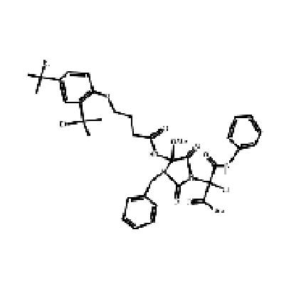 CCC(C)(C)c1ccc(OCCCC(=O)NC2(OC)C(=O)N(C(Cl)(C(=O)Nc3ccccc3)C(=O)C(C)(C)C)C(=O)N2Cc2ccccc2)c(C(C)(C)CC)c1